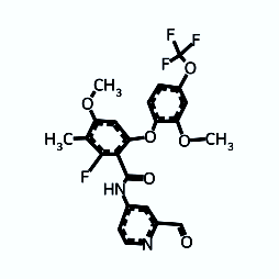 COc1cc(OC(F)(F)F)ccc1Oc1cc(OC)c(C)c(F)c1C(=O)Nc1ccnc(C=O)c1